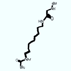 CC(C)(C)NCC(=O)NCCCCCCCCNC(=O)C(C)(C)C